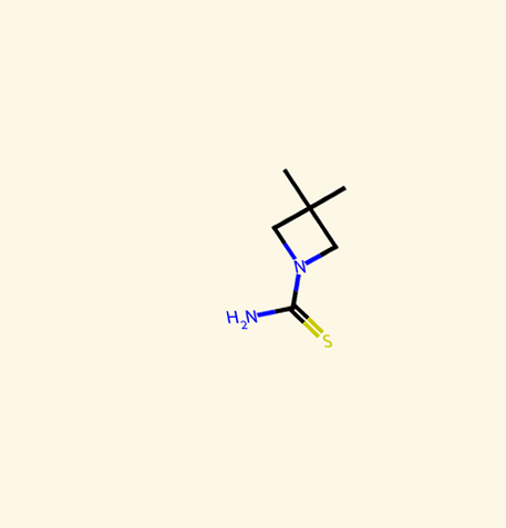 CC1(C)CN(C(N)=S)C1